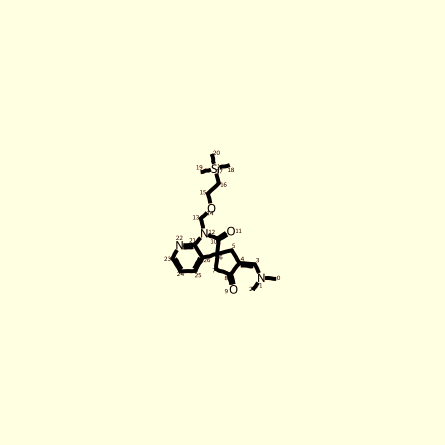 CN(C)C=C1CC2(CC1=O)C(=O)N(COCC[Si](C)(C)C)c1ncccc12